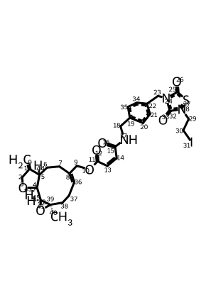 C=C1CO[C@H]2[C@H]1CC/C(COC(=O)/C=C\C(=O)NCc1ccc(Cn3c(=O)sn(CCI)c3=O)cc1)=C\CC[C@@]1(C)O[C@@H]21